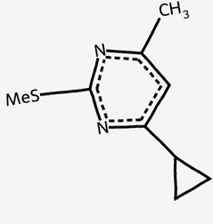 CSc1nc(C)cc(C2CC2)n1